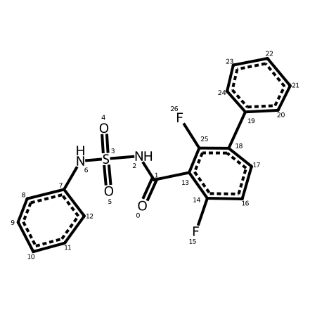 O=C(NS(=O)(=O)Nc1ccccc1)c1c(F)ccc(-c2ccccc2)c1F